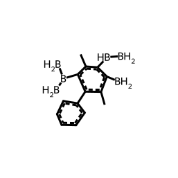 BBc1c(B)c(C)c(-c2ccccc2)c(B(B)B)c1C